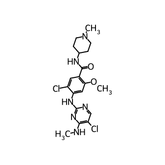 CNc1nc(Nc2cc(OC)c(C(=O)NC3CCN(C)CC3)cc2Cl)ncc1Cl